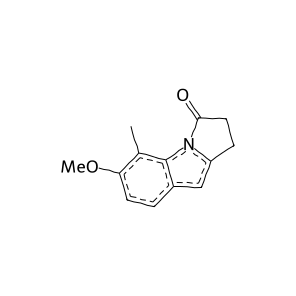 COc1ccc2cc3n(c2c1C)C(=O)CC3